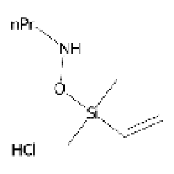 C=C[Si](C)(C)ONCCC.Cl